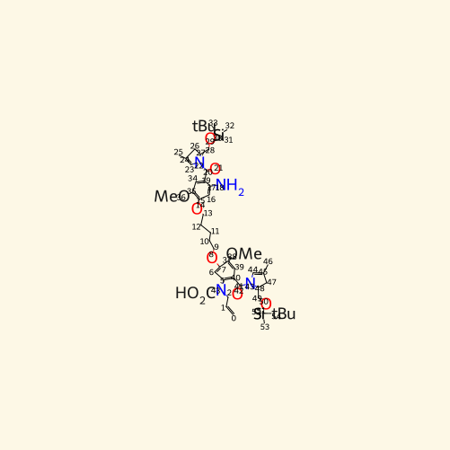 C=CCN(C(=O)O)c1cc(OCCCCCOc2cc(N)c(C(=O)N3C=C(C)CC3CO[Si](C)(C)C(C)(C)C)cc2OC)c(OC)cc1C(=O)N1C=C(C)CC1CO[Si](C)(C)C(C)(C)C